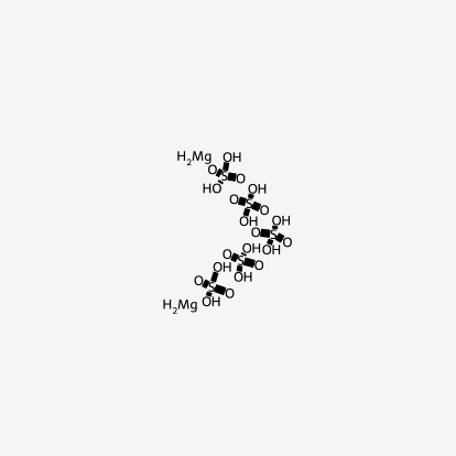 O=S(=O)(O)O.O=S(=O)(O)O.O=S(=O)(O)O.O=S(=O)(O)O.O=S(=O)(O)O.[MgH2].[MgH2]